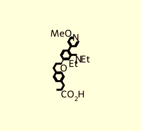 CCN(CC)Cc1cc([C@@H]2CCc3ccc(CC(C)C(=O)O)cc3O2)ccc1-c1ccnc(OC)c1